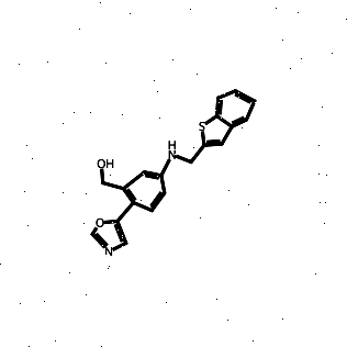 OCc1cc(NCc2cc3ccccc3s2)ccc1-c1cnco1